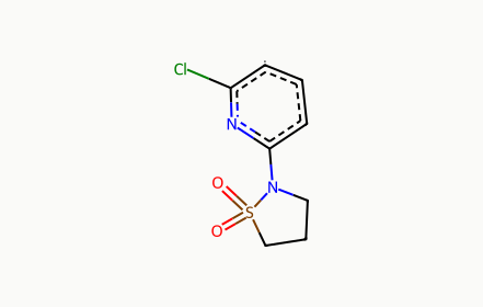 O=S1(=O)CCCN1c1cc[c]c(Cl)n1